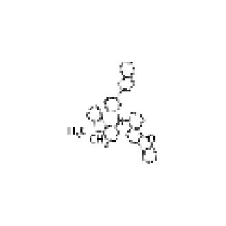 CC1(C)c2ccccc2-c2c(N(c3cccc(-c4ccc5ccccc5c4)c3)c3cccc4c3ccc3c5ccccc5oc43)cccc21